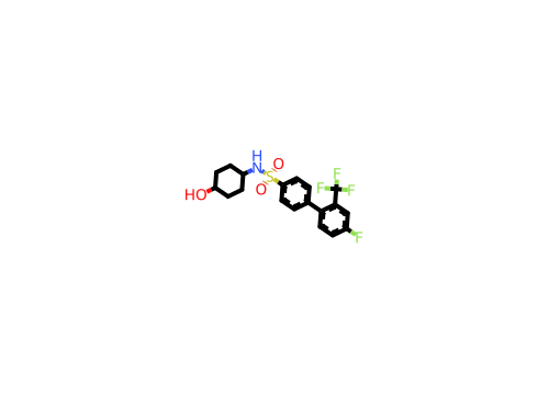 O=S(=O)(NC1CCC(O)CC1)c1ccc(-c2ccc(F)cc2C(F)(F)F)cc1